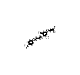 CCc1cc(OCC=C(F)Br)cc(CC)c1OCCCCOc1ccc(C(F)(F)F)cc1